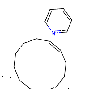 C1=CCCCCCCCCCC1.c1ccncc1